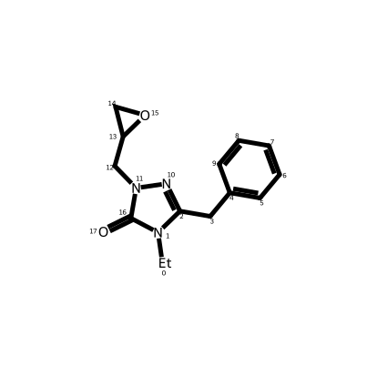 CCn1c(Cc2ccccc2)nn(CC2CO2)c1=O